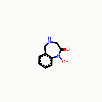 O=C1CNCc2ccccc2N1O